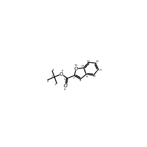 CC(C)(C)OC(=O)c1cc2c[c]ccc2o1